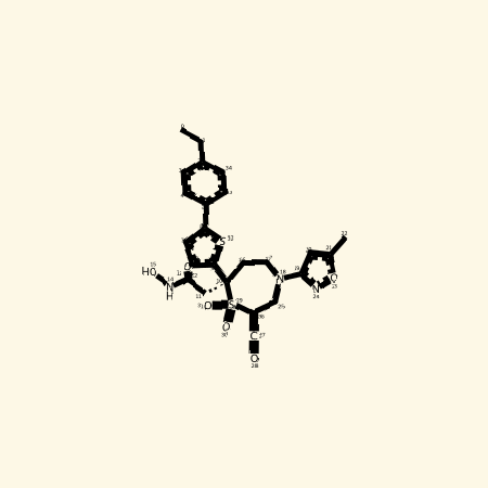 CCc1ccc(-c2ccc([C@@]3(CC(=O)NO)CCN(c4cc(C)on4)CC(=C=O)S3(=O)=O)s2)cc1